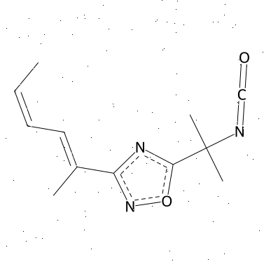 C/C=C\C=C(/C)c1noc(C(C)(C)N=C=O)n1